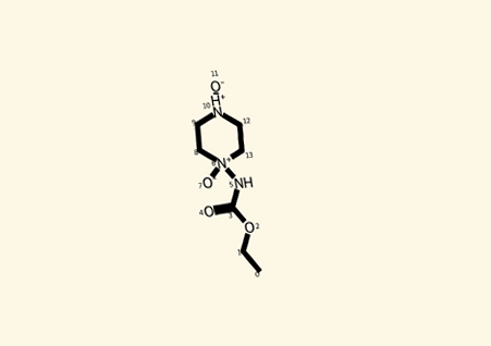 CCOC(=O)N[N+]1([O-])CC[NH+]([O-])CC1